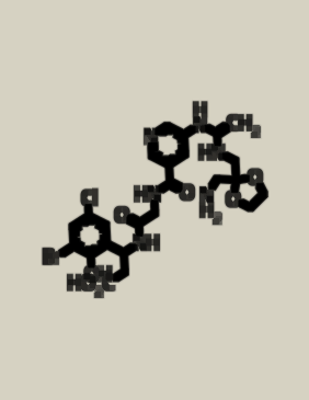 C=C(NCC1(CN)OCCO1)Nc1cncc(C(=O)NCC(=O)NC(CC(=O)O)c2cc(Cl)cc(Br)c2O)c1